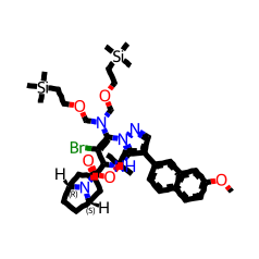 COc1ccc2ccc(-c3cnn4c3NC(C3C[C@H]5CC[C@@H](C3)N5C(=O)OC(C)(C)C)C(Br)=C4N(COCC[Si](C)(C)C)COCC[Si](C)(C)C)cc2c1